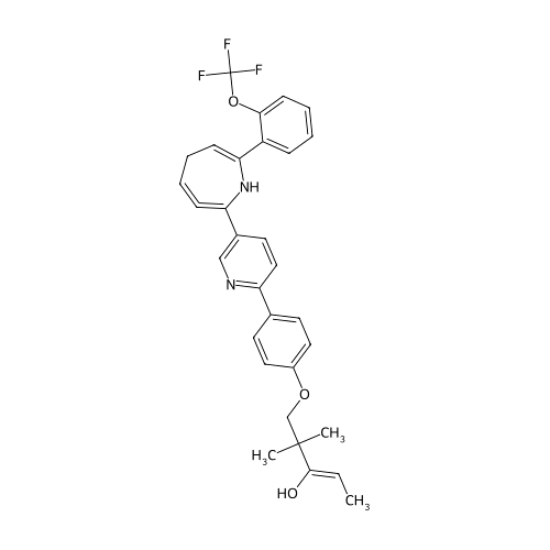 CC=C(O)C(C)(C)COc1ccc(-c2ccc(C3=C=CCC=C(c4ccccc4OC(F)(F)F)N3)cn2)cc1